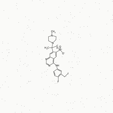 CN1CCN(C(C)(C)c2cc3ncnc(Nc4ccc(F)c(CI)c4)c3cc2[N+](=O)[O-])CC1